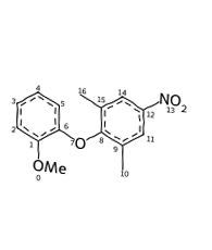 COc1ccccc1Oc1c(C)cc([N+](=O)[O-])cc1C